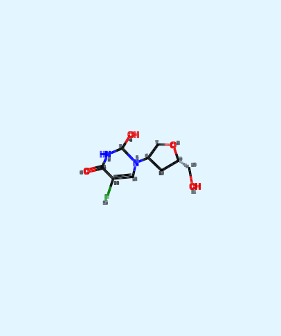 O=C1NC(O)N(C2CO[C@H](CO)C2)C=C1F